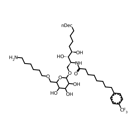 CCCCCCCCCCCCCC[C@@H](O)[C@@H](O)[C@H](COC1OC(COCCCCCCN)C(O)C(O)C1O)NC(=O)CCCCCCCc1ccc(C(F)(F)F)cc1